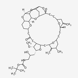 C=C1C(C)CC2CC[C@@H]3OC(CC[C@H]4OC5C6CC4OC4C(O6)[C@H]5OC5CCC(CC(=O)CC6C(CC1O2)O[C@H](CC(O)CNC(=O)OC(C)(C)C)[C@@H]6OC)O[C@@H]54)CC3=C